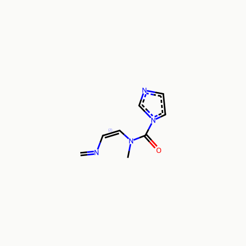 C=N/C=C\N(C)C(=O)n1ccnc1